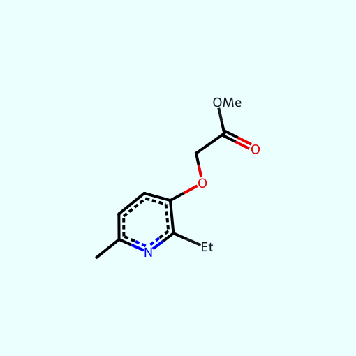 CCc1nc(C)ccc1OCC(=O)OC